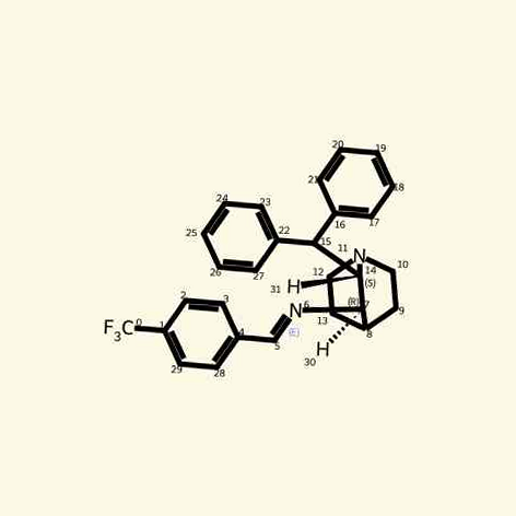 FC(F)(F)c1ccc(/C=N/[C@@H]2C3CCN(CC3)[C@H]2C(c2ccccc2)c2ccccc2)cc1